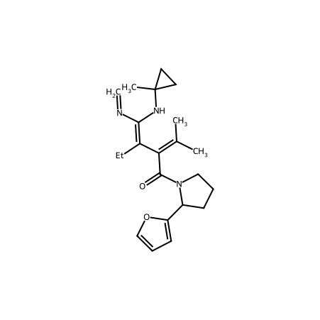 C=N/C(NC1(C)CC1)=C(\CC)C(C(=O)N1CCCC1c1ccco1)=C(C)C